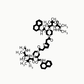 CN[C@@H](C)C(=O)N[C@H](C(=O)N1CCN(C(=O)Cc2ccc(CC(=O)N3CCN(C(=O)[C@@H](NC(=O)[C@H](C)NC)C(C)(C)C)[C@H](C(=O)N[C@@H]4CCCc5ccccc54)C3)s2)C[C@H]1C(=O)N[C@@H]1CCCc2ccccc21)C(C)(C)C